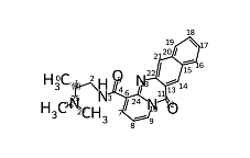 C[C@H](CNC(=O)c1cccn2c(=O)c3cc4ccccc4cc3nc12)N(C)C